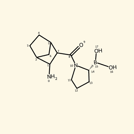 NC1C2CCC(C2)C1C(=O)N1CCC[C@H]1B(O)O